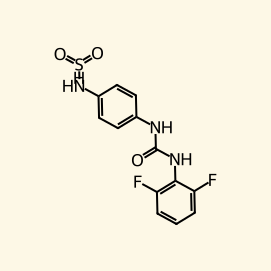 O=C(Nc1ccc(N[SH](=O)=O)cc1)Nc1c(F)cccc1F